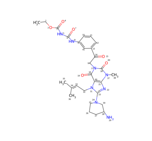 CCOC(=O)NC(=O)Nc1cccc(C(=O)Cn2c(=O)c3c(nc(N4CCCC(N)C4)n3CC=C(C)C)n(C)c2=O)c1